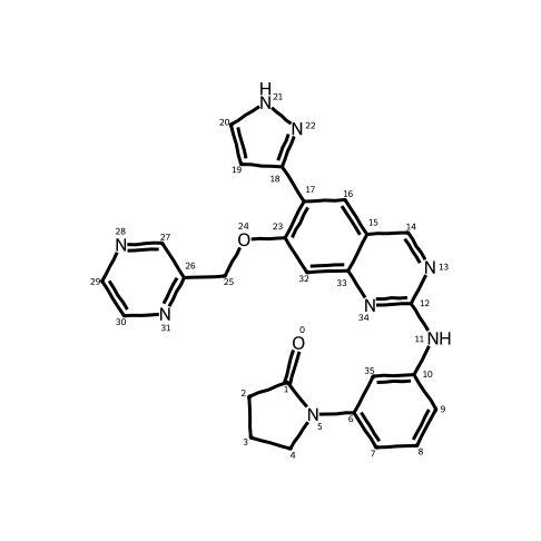 O=C1CCCN1c1cccc(Nc2ncc3cc(-c4cc[nH]n4)c(OCc4cnccn4)cc3n2)c1